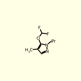 Cc1[c]nn(C(C)C)c1OC(F)F